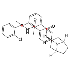 COc1cccc(C(=O)N[C@H]2C[C@H]3CC[C@@H](C2)N3c2ccc(C(=O)NCc3ccccc3Cl)cn2)c1C